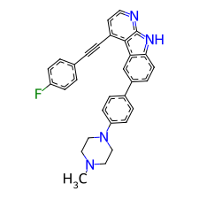 CN1CCN(c2ccc(-c3ccc4[nH]c5nccc(C#Cc6ccc(F)cc6)c5c4c3)cc2)CC1